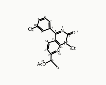 CCn1c(=O)nc(-c2cccc(Cl)c2)c2ccc(C(C)OC(C)=O)nc21